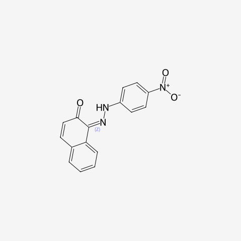 O=C1C=Cc2ccccc2/C1=N/Nc1ccc([N+](=O)[O-])cc1